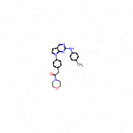 Cc1ccc(Nc2ncc3ccn(-c4ccc(CC(=O)N5CCOCC5)cc4)c3n2)cc1